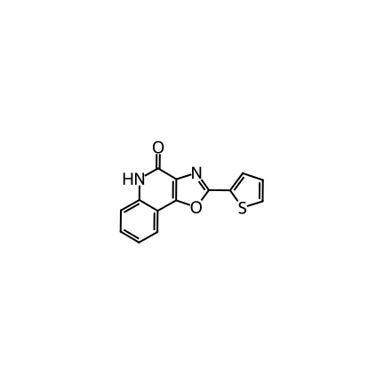 O=c1[nH]c2ccccc2c2oc(-c3cccs3)nc12